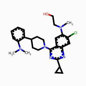 CN(C)c1ccccc1C1CCN(c2nc(C3CC3)nc3cc(Cl)c(N(C)CCO)cc23)CC1